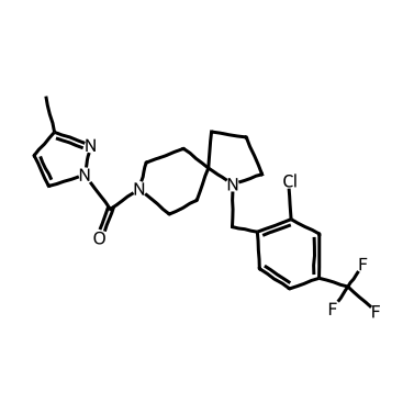 Cc1ccn(C(=O)N2CCC3(CCCN3Cc3ccc(C(F)(F)F)cc3Cl)CC2)n1